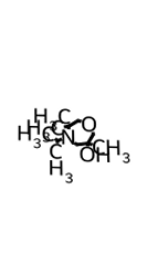 CC(C)N1CC(C)(O)COCC1(C)C